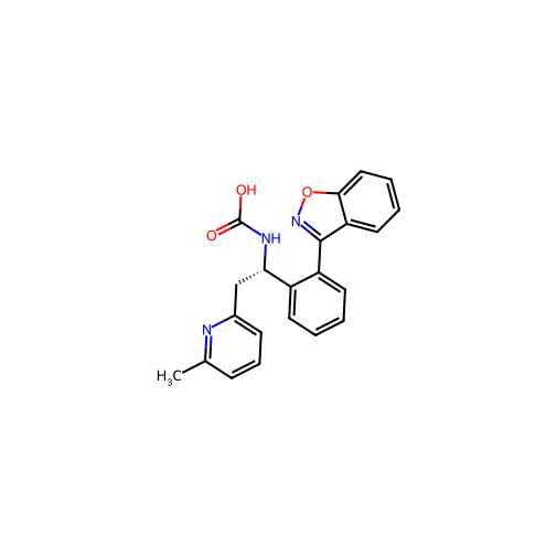 Cc1cccc(C[C@H](NC(=O)O)c2ccccc2-c2noc3ccccc23)n1